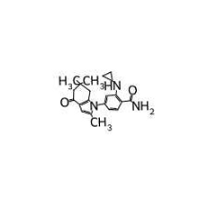 Cc1cc2c(n1-c1ccc(C(N)=O)c(NC3CC3)c1)CC(C)(C)CC2=O